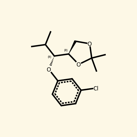 CC(C)[C@@H](Oc1cccc(Cl)c1)[C@H]1COC(C)(C)O1